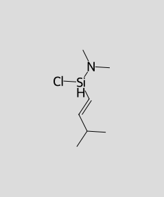 CC(C)C=C[SiH](Cl)N(C)C